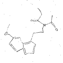 CCC(=O)N(CCc1cccc2ccc(OC)cc12)C(C)=O